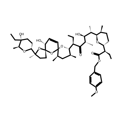 CC[C@@H](C(=O)[C@@H](C)[C@@H](O)[C@H](C)[C@@H]1O[C@@H]([C@@H](CC)C(=O)OCc2ccc(OC)cc2)CC[C@@H]1C)[C@H]1O[C@]2(C=C[C@@H](O)[C@]3(CC[C@@](C)([C@H]4CC[C@](O)(CC)[C@H](C)O4)O3)O2)[C@H](C)C[C@@H]1C